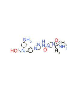 CC(C)(N)C(=O)N1CCN(C(=O)NC2=NCN(c3ccc(CN(CCO)C4CCC(N)CC4)cc3)C=C2)CC1